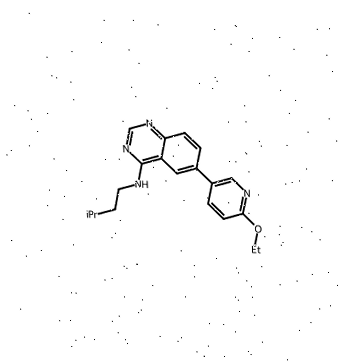 CCOc1ccc(-c2ccc3ncnc(NCCC(C)C)c3c2)cn1